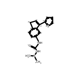 CN(C)NC(=O)Nc1ccc2c(c1)C(c1cccs1)=CC2